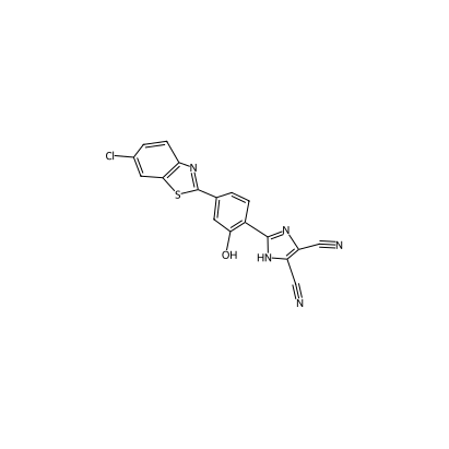 N#Cc1nc(-c2ccc(-c3nc4ccc(Cl)cc4s3)cc2O)[nH]c1C#N